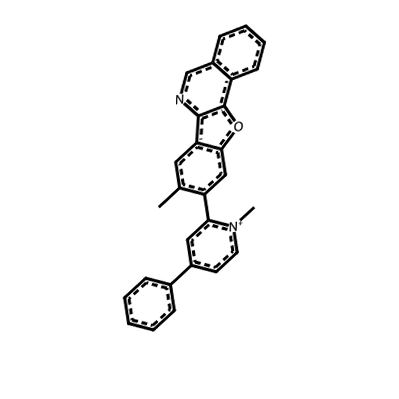 Cc1cc2c(cc1-c1cc(-c3ccccc3)cc[n+]1C)oc1c3ccccc3cnc21